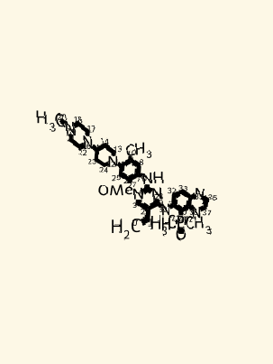 C=Cc1cnc(Nc2cc(C)c(N3CCC(N4CCN(C)CC4)CC3)cc2OC)nc1Nc1ccc2nccnc2c1P(C)(C)=O